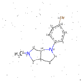 CN1CC2CCN(c3ccc(Br)cc3)C2C1